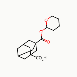 O=C(O)C12CC3CC(C1)CC(C(=O)OC1CCCCO1)(C3)C2